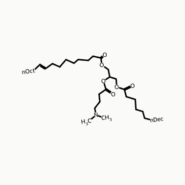 CCCCCCCCC=CCCCCCCCC(=O)OCC(COC(=O)CCCCCCCCCCCCCCC)OC(=O)CCCN(C)C